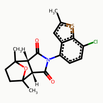 Cc1cc2c(N3C(=O)[C@@H]4[C@H](C3=O)C3(C)CCC4(C)O3)ccc(Cl)c2s1